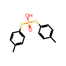 Cc1ccc(SP(=O)(O)Sc2ccc(C)cc2)cc1